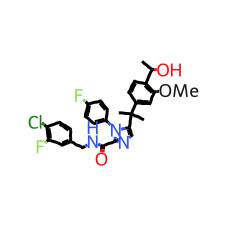 COc1cc(C(C)(C)c2cnc(C(=O)NCc3ccc(Cl)c(F)c3)n2-c2ccc(F)cc2)ccc1C(C)O